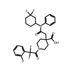 O=C(CC1(C(=O)O)CCN(C(=O)C(F)(F)c2ccccc2F)CC1)N(c1ccccc1)C1CCCC(F)(F)C1